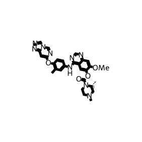 COc1cc2ncnc(Nc3ccc(Oc4cc5nncn5cn4)c(C)c3)c2cc1OC(=O)N1CCN(C)C[C@H]1C